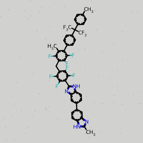 Cc1ccc(C(c2ccc(-c3c(C)c(F)c(Cc4c(F)c(F)c(-c5nc6cc(-c7ccc8[nH]c(C)nc8c7)ccc6[nH]5)c(F)c4F)c(F)c3F)cc2)(C(F)(F)F)C(F)(F)F)cc1